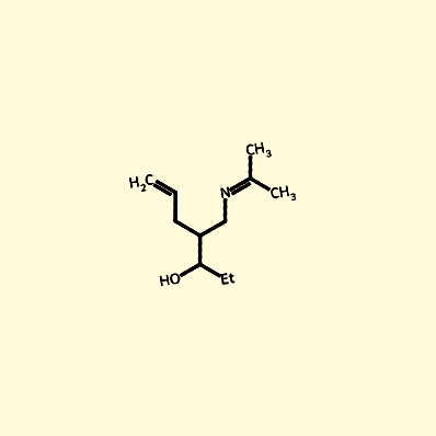 C=CCC(CN=C(C)C)C(O)CC